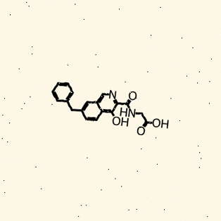 O=C(O)CNC(=O)c1ncc2cc(Cc3ccccc3)ccc2c1O